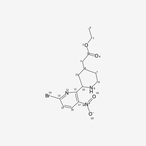 CCOC(=O)CC1CCNC(c2nc(Br)ccc2[N+](=O)[O-])C1